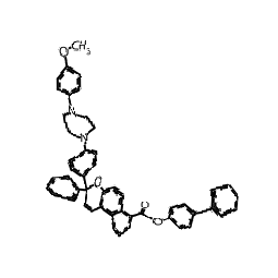 COc1ccc(N2CCN(c3ccc(C4(c5ccccc5)C=Cc5c(ccc6c(C(=O)Oc7ccc(-c8ccccc8)cc7)cccc56)O4)cc3)CC2)cc1